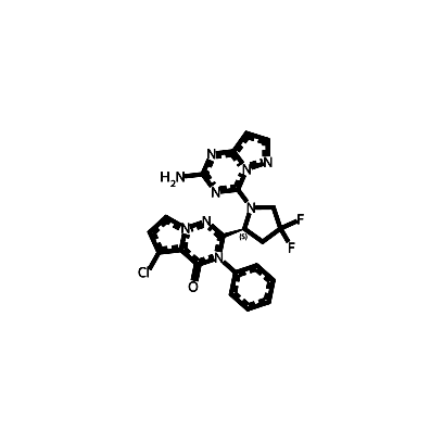 Nc1nc(N2CC(F)(F)C[C@H]2c2nn3ccc(Cl)c3c(=O)n2-c2ccccc2)n2nccc2n1